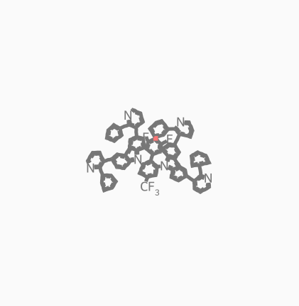 Fc1cc(F)cc(-c2c(-n3c4ccc(-c5cccnc5-c5ccccc5)cc4c4cc(-c5cccnc5-c5ccccc5)ccc43)cc(C(F)(F)F)cc2-n2c3ccc(-c4cccnc4-c4ccccc4)cc3c3cc(-c4cccnc4-c4ccccc4)ccc32)c1